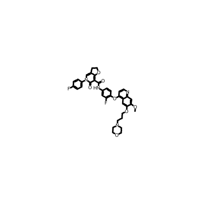 COc1cc2nccc(Oc3ccc(NC(=O)c4c5c(cn(-c6ccc(F)cc6)c4=O)CCO5)cc3F)c2cc1OCCCN1CCOCC1